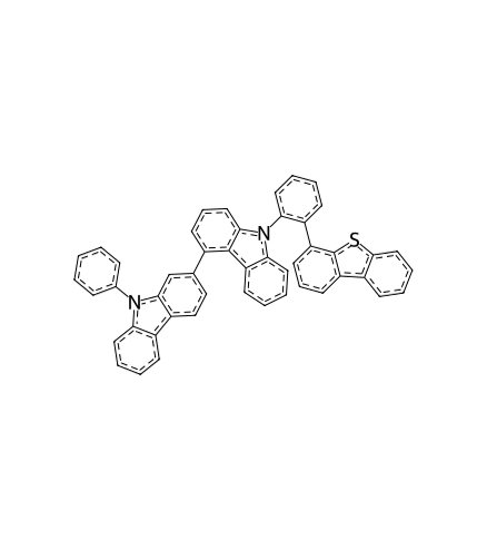 c1ccc(-n2c3ccccc3c3ccc(-c4cccc5c4c4ccccc4n5-c4ccccc4-c4cccc5c4sc4ccccc45)cc32)cc1